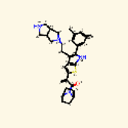 C=C(C(=O)N1C2CCC1CC2)c1cc2c(CCN3CC4CNCC4C3)c(-c3cc(C)cc(C)c3)[nH]c2s1